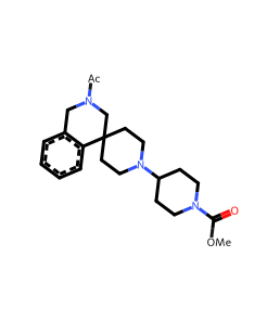 COC(=O)N1CCC(N2CCC3(CC2)CN(C(C)=O)Cc2ccccc23)CC1